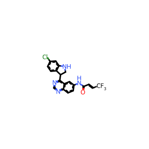 O=C(C=CC(F)(F)F)Nc1ccc2ncnc(C3CNc4cc(Cl)ccc43)c2c1